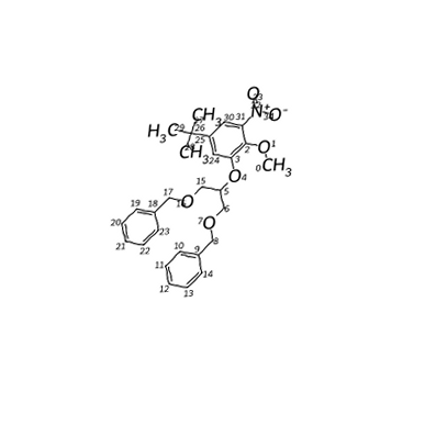 COc1c(OC(COCc2ccccc2)COCc2ccccc2)cc(C(C)(C)C)cc1[N+](=O)[O-]